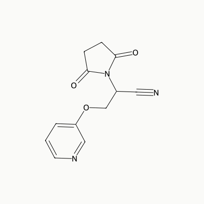 N#CC(COc1cccnc1)N1C(=O)CCC1=O